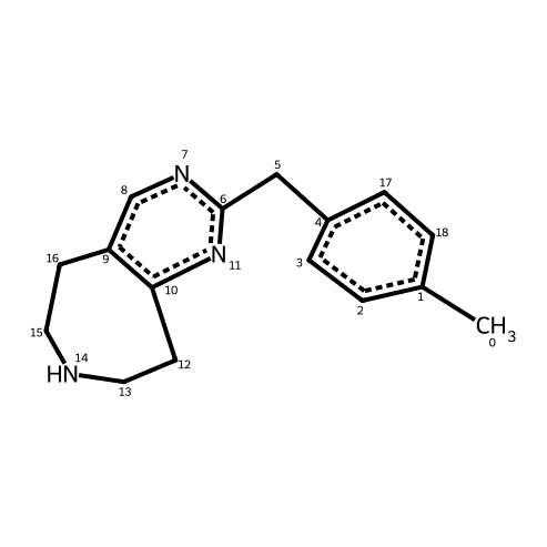 Cc1ccc(Cc2ncc3c(n2)CCNCC3)cc1